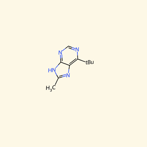 Cc1nc2c(C(C)(C)C)ncnc2[nH]1